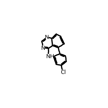 Nc1ncnc2cccc(-c3ccc(Cl)cc3)c12